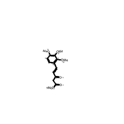 CCCCCCCCCC(=O)CC(=O)C=Cc1ccc(OC)c(OC)c1OC